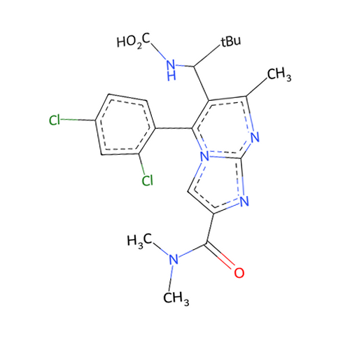 Cc1nc2nc(C(=O)N(C)C)cn2c(-c2ccc(Cl)cc2Cl)c1C(NC(=O)O)C(C)(C)C